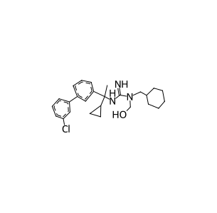 CC(NC(=N)N(CO)CC1CCCCC1)(c1cccc(-c2cccc(Cl)c2)c1)C1CC1